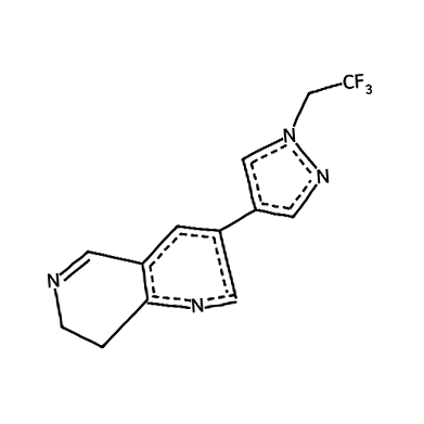 FC(F)(F)Cn1cc(-c2cnc3c(c2)C=NCC3)cn1